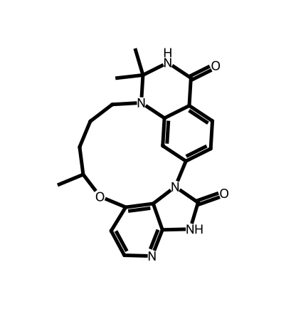 CC1CCCN2c3cc(ccc3C(=O)NC2(C)C)-n2c(=O)[nH]c3nccc(c32)O1